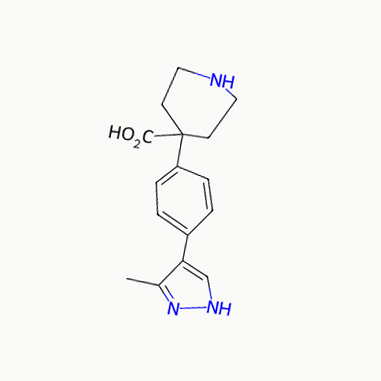 Cc1n[nH]cc1-c1ccc(C2(C(=O)O)CCNCC2)cc1